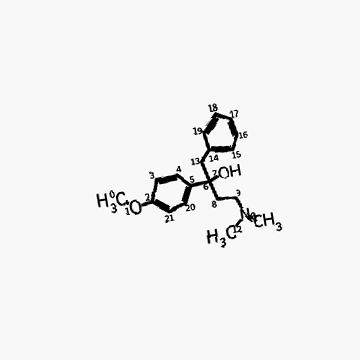 COc1ccc(C(O)(CCN(C)C)Cc2ccccc2)cc1